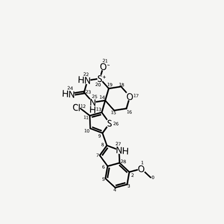 COc1cccc2cc(-c3cc(Cl)c(C45CCOCC4[S+]([O-])NC(=N)N5)s3)[nH]c12